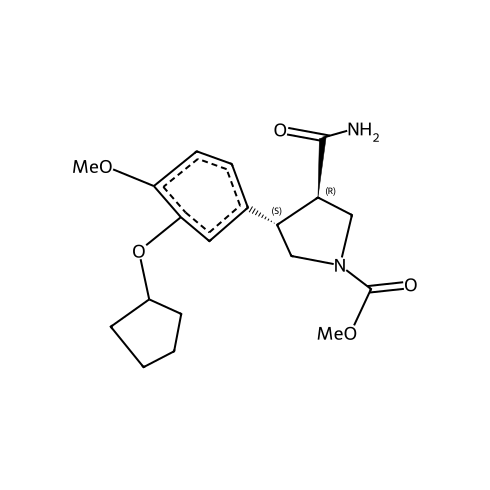 COC(=O)N1C[C@H](C(N)=O)[C@@H](c2ccc(OC)c(OC3CCCC3)c2)C1